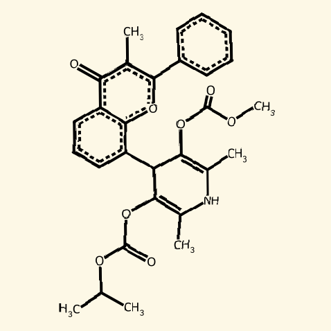 COC(=O)OC1=C(C)NC(C)=C(OC(=O)OC(C)C)C1c1cccc2c(=O)c(C)c(-c3ccccc3)oc12